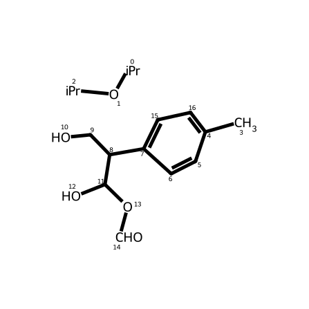 CC(C)OC(C)C.Cc1ccc(C(CO)C(O)OC=O)cc1